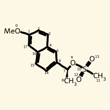 COc1ccc2cc([C@H](C)OS(C)(=O)=O)ccc2c1